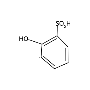 O=S(=O)(O)c1ccc[c]c1O